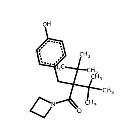 CC(C)(C)C(Cc1ccc(O)cc1)(C(=O)N1CCC1)C(C)(C)C